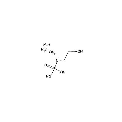 O.O.O=P(O)(O)OCCO.[NaH]